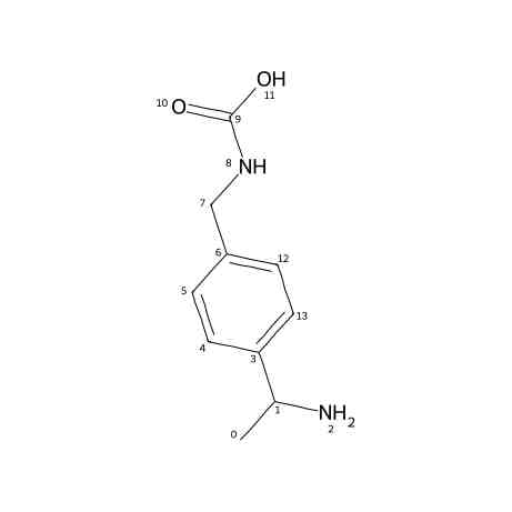 CC(N)c1ccc(CNC(=O)O)cc1